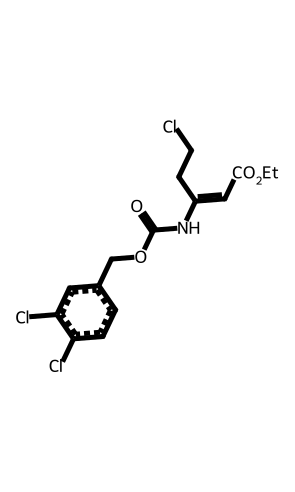 CCOC(=O)C=C(CCCl)NC(=O)OCc1ccc(Cl)c(Cl)c1